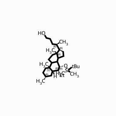 CC[C@H]1[C@@H](O[Si](C)(C)C(C)(C)C)C2C3CC[C@H]([C@H](C)CCCO)[C@@]3(C)CCC2[C@@]2(C)CC[C@@H](C)C[C@@H]12